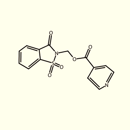 O=C(OCN1C(=O)c2ccccc2S1(=O)=O)c1ccncc1